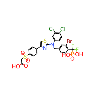 O=C(O)CS(=O)(=O)c1ccc(-c2csc(N(Cc3ccc(C(F)(F)P(=O)(O)O)c(Br)c3)c3ccc(Cl)c(Cl)c3)n2)cc1